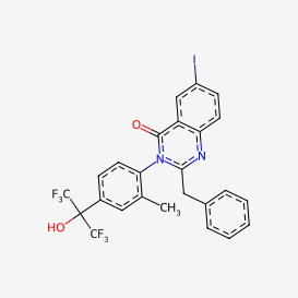 Cc1cc(C(O)(C(F)(F)F)C(F)(F)F)ccc1-n1c(Cc2ccccc2)nc2ccc(I)cc2c1=O